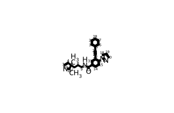 CC1=NC=CC1(C)CCCNC(=O)c1ccc(-n2cccn2)c(C#Cc2ccccc2)c1